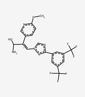 COc1ccc(/C(=C\n2cnc(-c3cc(C(F)(F)F)cc(C(F)(F)F)c3)n2)C(N)O)cn1